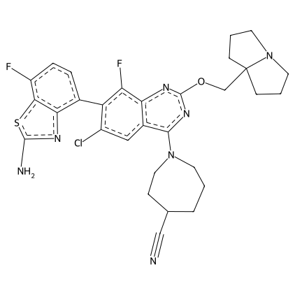 N#CC1CCCN(c2nc(OCC34CCCN3CCC4)nc3c(F)c(-c4ccc(F)c5sc(N)nc45)c(Cl)cc23)CC1